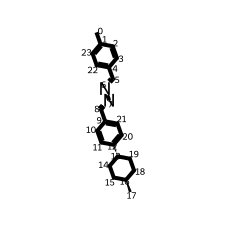 Cc1ccc(C=NN=Cc2ccc([C@H]3CC[C@H](C)CC3)cc2)cc1